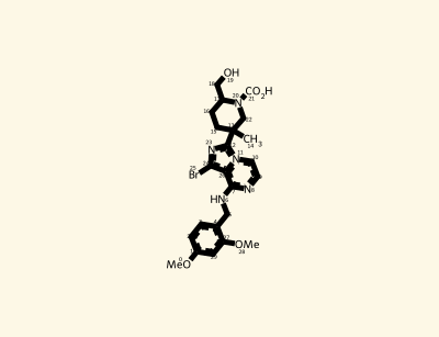 COc1ccc(CNc2nccn3c(C4(C)CCC(CO)N(C(=O)O)C4)nc(Br)c23)c(OC)c1